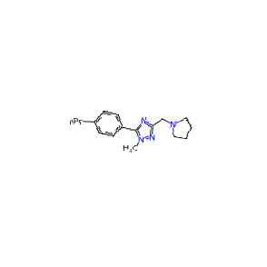 CCCc1ccc(-c2nc(CN3CCCC3)nn2C)cc1